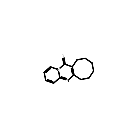 O=c1c2c(nc3ccccn13)CCCCCC2